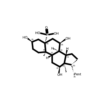 [CH2]CC[C@@H](C)[C@H]1CC[C@H]2[C@@H]3[C@H](O)C[C@]4(P(=O)(O)O)C[C@H](O)CC[C@]4(C)[C@H]3C[C@H](O)[C@]12C